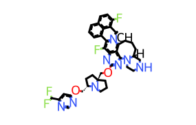 C#Cc1c(F)ccc2cccc(-c3nc4c5c(nc(OC[C@@]67CCCN6[C@H](COc6cc(C(F)F)ncn6)CC7)nc5c3F)N3CCNC[C@H]3CCC4)c12